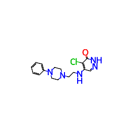 O=c1[nH]ncc(NCCN2CCN(c3ccccc3)CC2)c1Cl